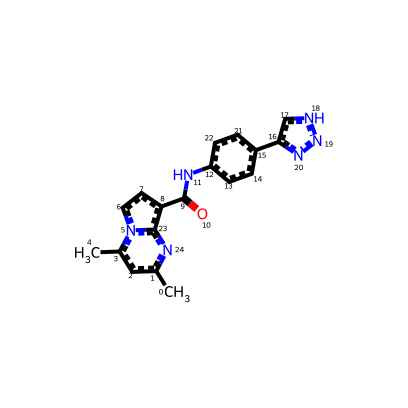 Cc1cc(C)n2ccc(C(=O)Nc3ccc(-c4c[nH]nn4)cc3)c2n1